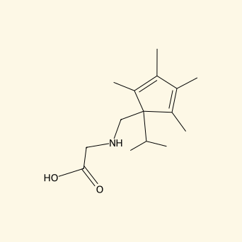 CC1=C(C)C(CNCC(=O)O)(C(C)C)C(C)=C1C